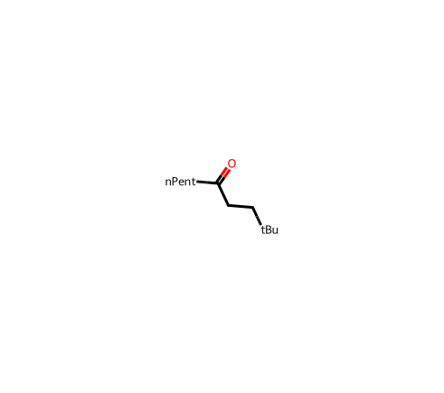 CCCCCC(=O)CCC(C)(C)C